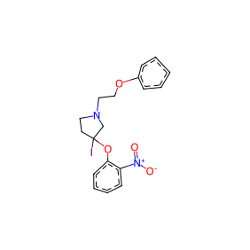 O=[N+]([O-])c1ccccc1OC1(I)CCN(CCOc2ccccc2)C1